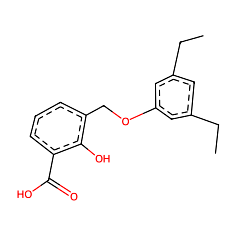 CCc1cc(CC)cc(OCc2cccc(C(=O)O)c2O)c1